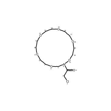 O=C(CCl)N1COCCOCCOCCOCCOCCO1